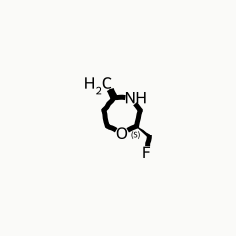 C=C1CCO[C@H](CF)CN1